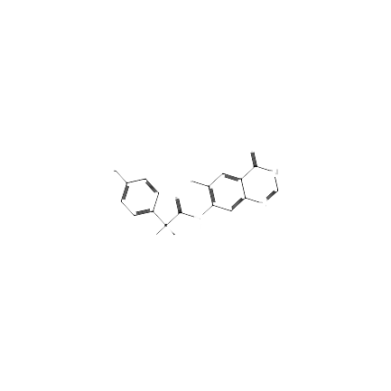 C[C@](O)(C(=O)Nc1cc2nc[nH]c(=O)c2cc1Cl)c1ccc(Cl)cc1